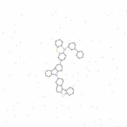 c1ccc(-c2cccc(N3c4ccccc4Sc4cc(-c5ccc6c(c5)c5ccccc5n6-c5ccc6c(ccc7sc8ccccc8c76)c5)ccc43)c2)cc1